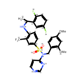 COc1ccc(CN(c2ccncn2)S(=O)(=O)c2ccc(NC(C)c3cc(F)ccc3F)c(C(F)(F)F)c2)c(OC)c1